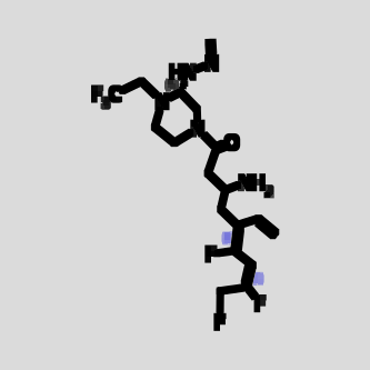 C=C/C(CC(N)CC(=O)N1CCN(CC(F)(F)F)[C@H](NN=C)C1)=C(F)\C=C(\F)CF